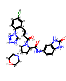 O=C(Nc1ccc2[nH]c(=O)[nH]c2c1)C1C[C@H](N2CCOCC2)CN1C(=O)/C=C/c1cc(Cl)ccc1-n1cnnn1